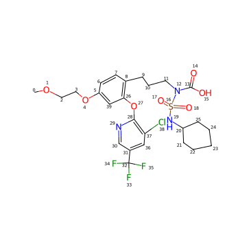 COCCOc1ccc(CCCN(C(=O)O)S(=O)(=O)NC2CCCCC2)c(Oc2ncc(C(F)(F)F)cc2Cl)c1